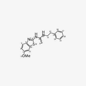 COc1ccc2nc(NC(=S)NCCc3ccccc3)sc2c1